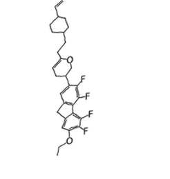 C=CC1CCC(CCC2=CCC(c3cc4c(c(F)c3F)-c3c(cc(OCC)c(F)c3F)C4)CO2)CC1